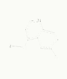 CCC(C)Oc1ccnc2ccc(C(C)=O)cc12